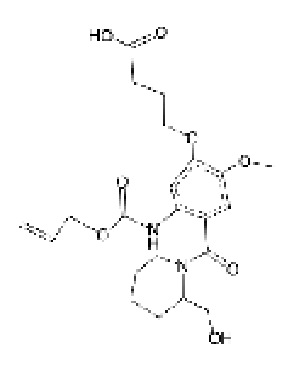 C=CCOC(=O)Nc1cc(OCCCC(=O)O)c(OC)cc1C(=O)N1CCCCC1CO